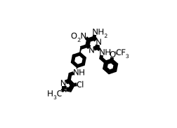 Cn1cc(Cl)c(CN[C@H]2CC[C@H](Cc3nc(NCc4ccccc4OC(F)(F)F)nc(N)c3[N+](=O)[O-])CC2)n1